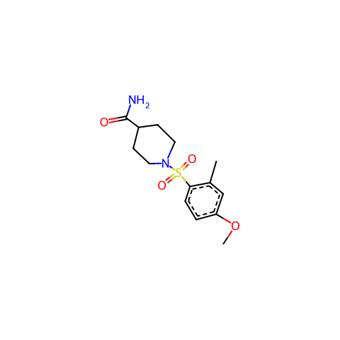 COc1ccc(S(=O)(=O)N2CCC(C(N)=O)CC2)c(C)c1